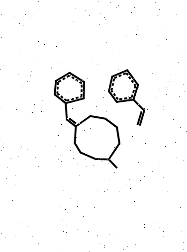 C=Cc1ccccc1.CC1CCCCC(=Cc2ccccc2)CCC1